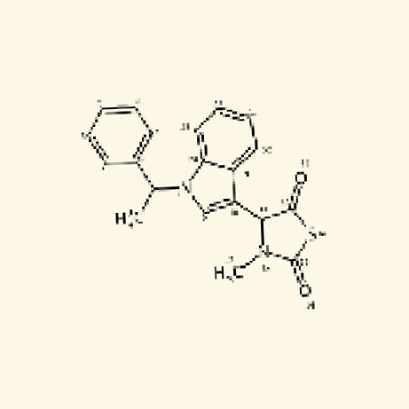 CC(c1ccccc1)n1cc(C2C(=O)SC(=O)N2C)c2ccccc21